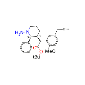 C#CCc1ccc(OC)c(C(C(=O)OC(C)(C)C)[C@@H]2CCCN(N)[C@@H]2c2ccccc2)c1